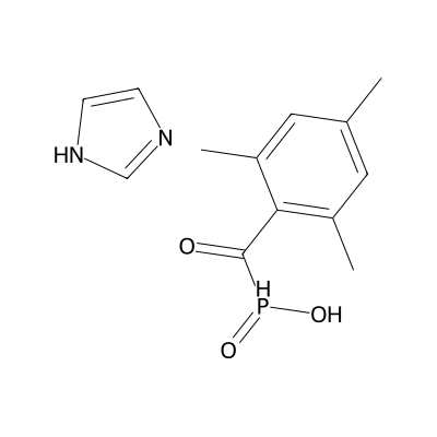 Cc1cc(C)c(C(=O)[PH](=O)O)c(C)c1.c1c[nH]cn1